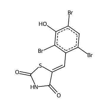 O=C1NC(=O)C(=Cc2c(Br)cc(Br)c(O)c2Br)S1